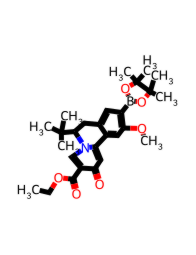 CCOC(=O)c1cn2c(cc1=O)-c1cc(OC)c(B3OC(C)(C)C(C)(C)O3)cc1CC2C(C)(C)C